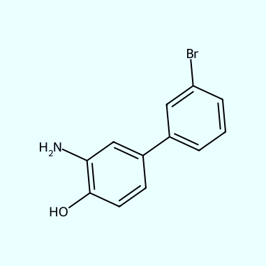 Nc1cc(-c2cccc(Br)c2)ccc1O